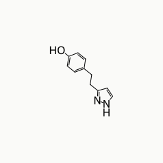 Oc1ccc(CCc2cc[nH]n2)cc1